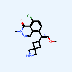 CO/C=C(/c1ccc(Cl)c2c(=O)n(C)ncc12)C1CC2(CNC2)C1